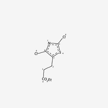 CCOC(=O)CCc1sc(Cl)nc1Cl